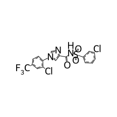 O=C(NS(=O)(=O)c1cccc(Cl)c1)c1cn(-c2ccc(C(F)(F)F)cc2Cl)cn1